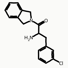 NC(Cc1cccc(Cl)c1)C(=O)N1Cc2ccccc2C1